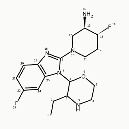 CCC1NCCOC1n1c(N2CC[C@@H](F)[C@H](N)C2)nc2ccc(F)cc21